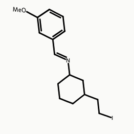 COc1cccc(/C=N/C2CCCC(CCI)C2)c1